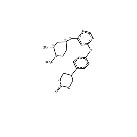 CC(C)(C)[C@@H]1C[C@@H](Oc2cc(Oc3ccc(C4COS(=O)OC4)cc3)ncn2)CCN1C(=O)O